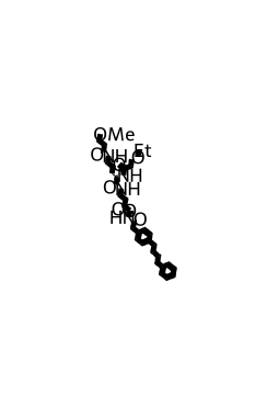 CCOCCC(=O)N[C@@H](CCCNC(=O)CCOC)C(=O)NCCC(=O)ONC(=O)Cc1ccc(CCCCc2ccccc2)cc1